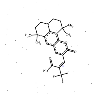 CC1(C)CCN2CCC(C)(C)c3c2c1cc1cc(/C=C(\C(=O)O)C(F)(F)F)c(=O)oc31